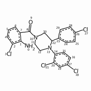 Nc1c(Cl)cccc1C(=O)N1CCN(c2ccc(Cl)cc2Cl)C(c2ccc(Cl)cc2)C1